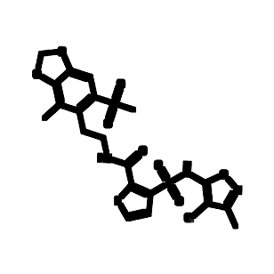 Cc1noc(NS(=O)(=O)c2ccsc2C(=O)NCCc2c(S(C)(=O)=O)cc3c(c2C)OCO3)c1Cl